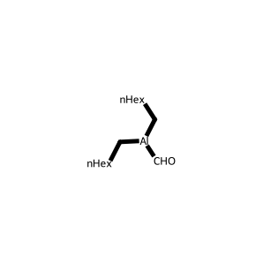 CCCCCC[CH2][Al]([CH]=O)[CH2]CCCCCC